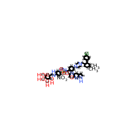 CC1(C)CCC(CN2CCN(c3ccc(C(=O)NS(=O)(=O)c4ccc(NCC5OC(O)C(O)C(O)C5O)c([N+](=O)[O-])c4)c(N4CCOc5nc6[nH]ccc6cc54)c3)CC2)=C(c2ccc(Cl)cc2)C1